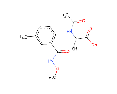 CC(=O)N[C@@H](C)C(=O)O.[CH2]c1cccc(C(=O)NOC)c1